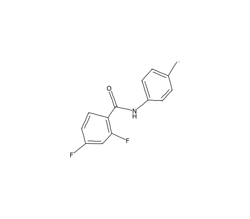 [CH2]c1ccc(NC(=O)c2ccc(F)cc2F)cc1